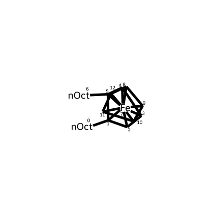 CCCCCCCC[C]12[CH]3[CH]4[CH]5[C]1(CCCCCCCC)[Fe]43521678[CH]2[CH]1[CH]6[CH]7[CH]28